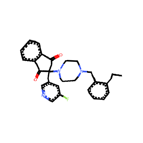 CCc1ccccc1CN1CCN(C2(c3cncc(F)c3)C(=O)c3ccccc3C2=O)CC1